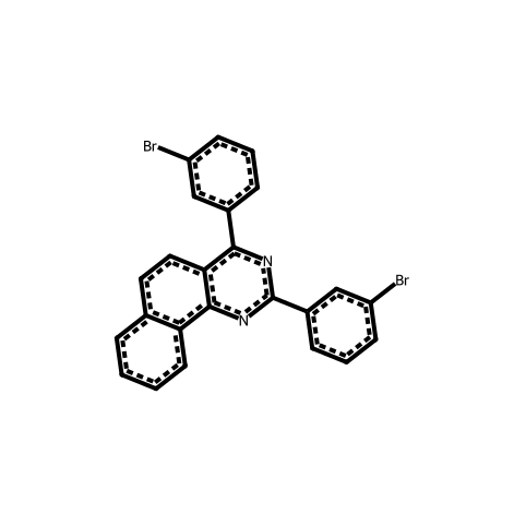 Brc1cccc(-c2nc(-c3cccc(Br)c3)c3ccc4ccccc4c3n2)c1